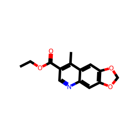 CCOC(=O)c1cnc2cc3c(cc2c1C)OCO3